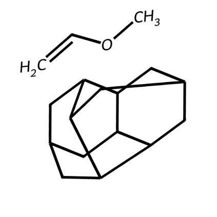 C1C2CC3C4CC5CC(C14)C(C2)C3C5.C=COC